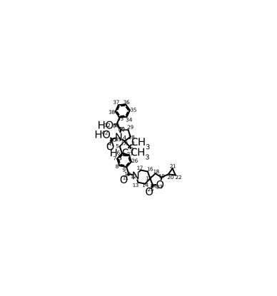 CC(C)(C)[C@@]1(Cc2ccc(C(=O)N3CCC4(CC3)CC(C3CC3)OC4=O)cc2)CC[C@H]([C@H](O)c2ccccc2)N1C(=O)O